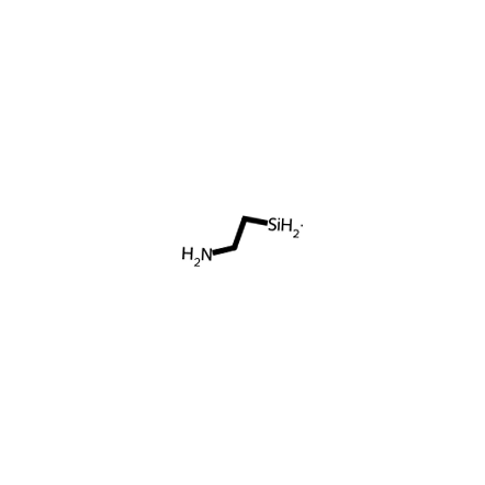 NCC[SiH2]